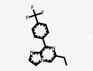 CCc1cn2ccnc2c(-c2ccc(C(F)(F)F)cc2)n1